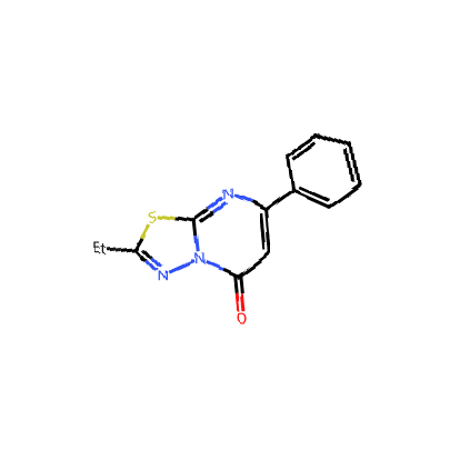 CCc1nn2c(=O)cc(-c3ccccc3)nc2s1